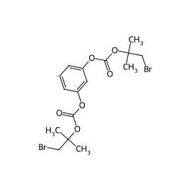 CC(C)(CBr)OC(=O)Oc1c[c]cc(OC(=O)OC(C)(C)CBr)c1